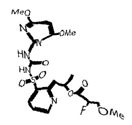 COCC(F)C(=O)OC(C)Cc1ncccc1S(=O)(=O)NC(=O)Nc1nc(OC)cc(OC)n1